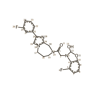 O=C(CN1c2c(F)cccc2OC1O)N1CCCn2cc(-c3cccc(F)c3)nc2C1